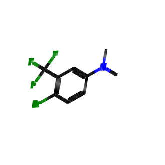 CN(C)c1ccc(Br)c(C(F)(F)F)c1